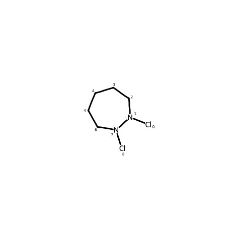 ClN1CCCCCN1Cl